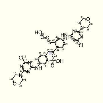 O=S(=O)(O)c1cc(Nc2nc(Cl)nc(N3CCOCC3)n2)ccc1/C=C/c1ccc(Nc2nc(Cl)nc(N3CCOCC3)n2)cc1SOOO